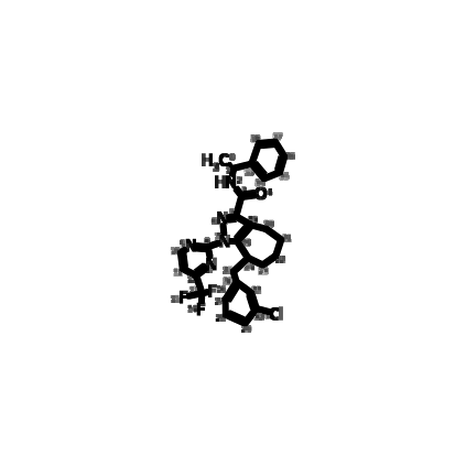 C[C@@H](NC(=O)c1nn(-c2nccc(C(F)(F)F)n2)c2c1CCCCC2Cc1cccc(Cl)c1)c1ccccc1